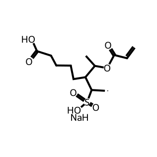 [CH2]C(C(CCCCC(=O)O)C(C)OC(=O)C=C)S(=O)(=O)O.[NaH]